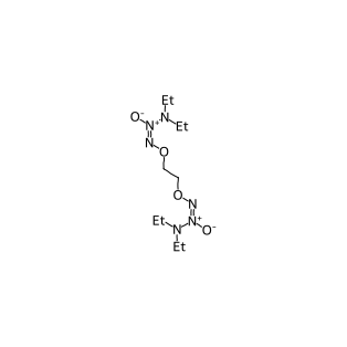 CCN(CC)/[N+]([O-])=N\OCCO/N=[N+](/[O-])N(CC)CC